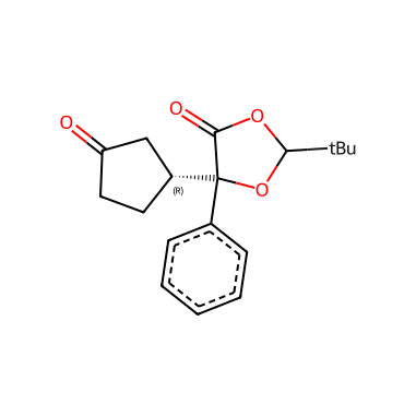 CC(C)(C)C1OC(=O)C(c2ccccc2)([C@@H]2CCC(=O)C2)O1